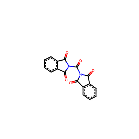 O=C1c2ccccc2C(=O)N1C(=O)N1C(=O)c2ccccc2C1=O